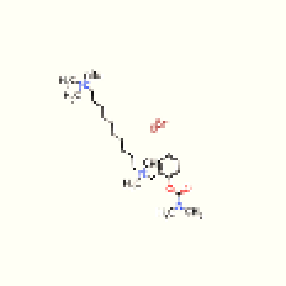 CCCC[N+](C)(C)CCCCCCCCCC[N+](C)(C)Cc1ccccc1OC(=O)N(C)C.[Br-].[Br-]